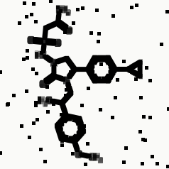 COc1ccc(C(C)CN2C(=O)N(NS(=O)(=O)CC(N)=O)CC2c2ccc(C3CC3)cc2)cc1